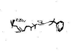 CC(CCN(C)CC(C)(C)C(C)(C)C)C(C)(C)CNC(=O)CCC(C)(C)c1ccccn1